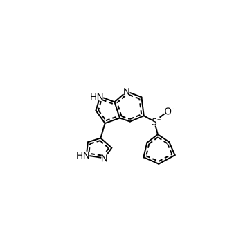 [O-][S+](c1ccccc1)c1cnc2[nH]cc(-c3cn[nH]c3)c2c1